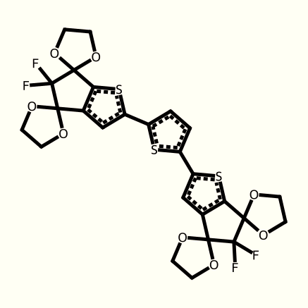 FC1(F)C2(OCCO2)c2cc(-c3ccc(-c4cc5c(s4)C4(OCCO4)C(F)(F)C54OCCO4)s3)sc2C12OCCO2